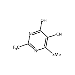 CSc1nc(C(F)(F)F)nc(O)c1C#N